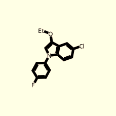 [CH2]COc1cn(-c2ccc(F)cc2)c2ccc(Cl)cc12